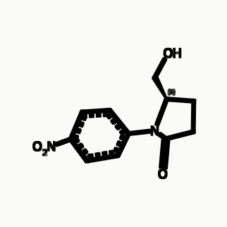 O=C1CC[C@H](CO)N1c1ccc([N+](=O)[O-])cc1